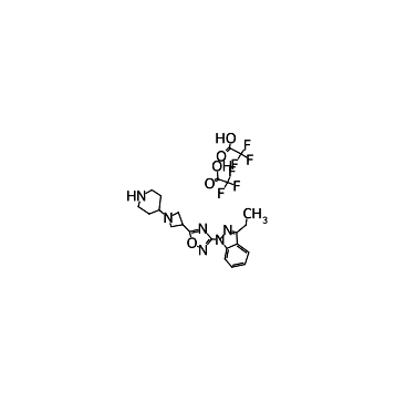 CCc1nn(-c2noc(C3CN(C4CCNCC4)C3)n2)c2ccccc12.O=C(O)C(F)(F)F.O=C(O)C(F)(F)F